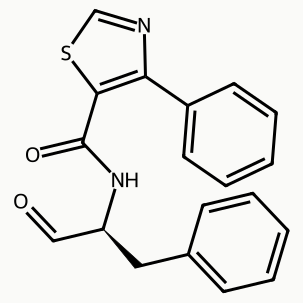 O=C[C@H](Cc1ccccc1)NC(=O)c1scnc1-c1ccccc1